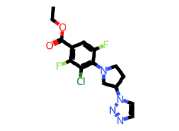 CCOC(=O)c1cc(F)c(N2CCC(n3ccnn3)C2)c(Cl)c1F